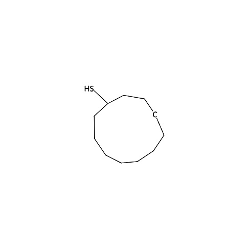 SC1CCCCCCCCCC1